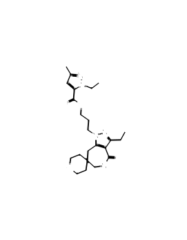 CCc1nn(CCCOC(=O)c2cc(C)nn2CC)c2c1C(=O)NCC1(CCOCC1)C2